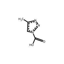 Cc1cn(C(=O)O)nn1